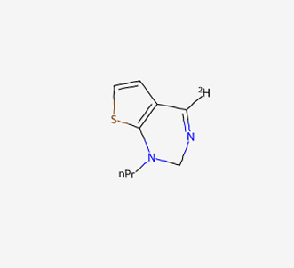 [2H]C1=NCN(CCC)c2sccc21